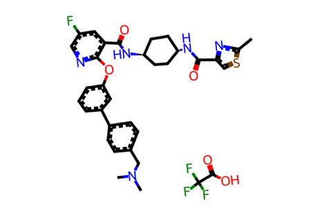 Cc1nc(C(=O)N[C@H]2CC[C@H](NC(=O)c3cc(F)cnc3Oc3cccc(-c4ccc(CN(C)C)cc4)c3)CC2)cs1.O=C(O)C(F)(F)F